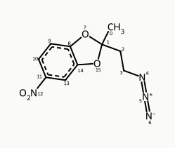 CC1(CCN=[N+]=[N-])Oc2ccc([N+](=O)[O-])cc2O1